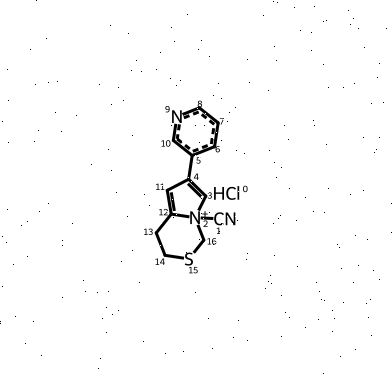 Cl.N#C[N+]12C=C(c3cccnc3)C=C1CCSC2